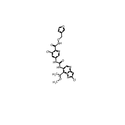 CO[C@@H](C)c1c(NC(=O)Nc2cnc(C(=O)NOCc3ccoc3)c(Cl)c2)cnc2cc(Cl)nn12